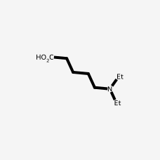 CCN(CC)CCCCC(=O)O